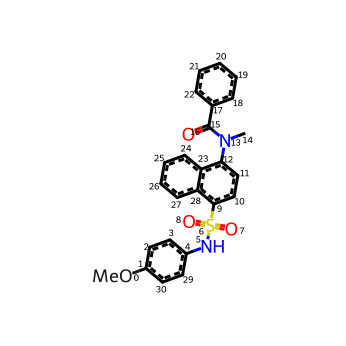 COc1ccc(NS(=O)(=O)c2ccc(N(C)C(=O)c3ccccc3)c3ccccc23)cc1